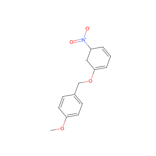 COc1ccc(COC2=CC=CC([N+](=O)[O-])[CH]2)cc1